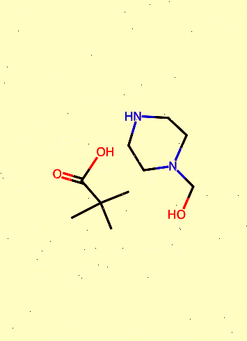 CC(C)(C)C(=O)O.OCN1CCNCC1